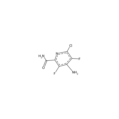 NC(=O)c1nc(Cl)c(F)c(N)c1F